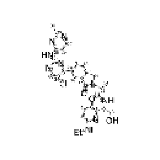 CCNc1cccc(C(CO)NC(=O)C(C)N2Cc3ccc(-c4nc(Nc5ccnc(C)n5)ncc4Cl)cc3C2=O)n1